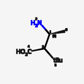 C[C@@H](N)C(C(=O)O)C(C)(C)C